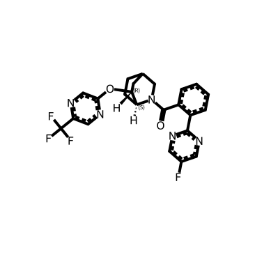 O=C(c1ccccc1-c1ncc(F)cn1)N1CC2CC[C@H]1[C@H](Oc1cnc(C(F)(F)F)cn1)C2